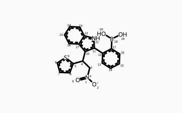 O=[N+]([O-])CC(c1cccs1)c1c(-c2ccccc2B(O)O)[nH]c2ccccc12